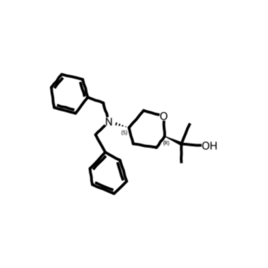 CC(C)(O)[C@H]1CC[C@H](N(Cc2ccccc2)Cc2ccccc2)CO1